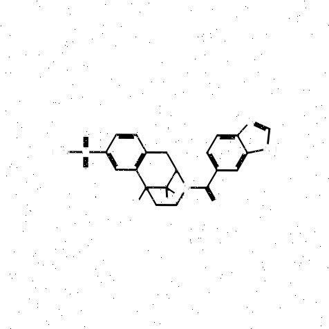 CC12CCN(C(=O)c3ccc4nc[nH]c4c3)C(Cc3ccc(S(N)(=O)=O)cc31)C2(C)C